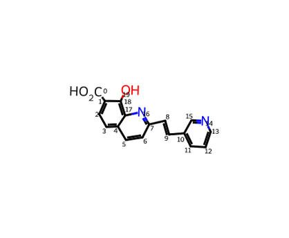 O=C(O)c1ccc2ccc(C=Cc3cccnc3)nc2c1O